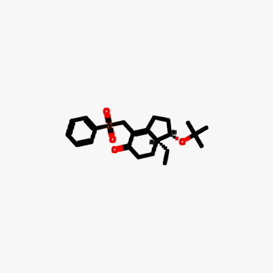 CC[C@]12CCC(=O)C(CS(=O)(=O)c3ccccc3)=C1CC[C@@H]2OC(C)(C)C